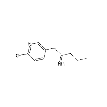 CCCC(=N)Cc1ccc(Cl)nc1